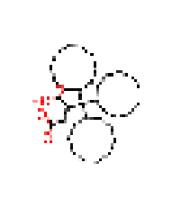 O=C(O)C=C(C(=O)O)C(C1CCCCCCCCC1)(C1CCCCCCCCC1)C1CCCCCCCCC1